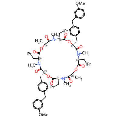 COc1cccc(Cc2ccc(C[C@H]3OC(=O)[C@H](CC(C)C)N(C)C(=O)[C@@H](C)OC(=O)[C@H](CC(C)C)N(C)C(=O)[C@@H](Cc4ccc(Cc5cccc(OC)c5)cc4)OC(=O)[C@H](CC(C)C)N(C)C(=O)[C@@H](C)OC(=O)[C@H](CC(C)C)N(C)C3=O)cc2)c1